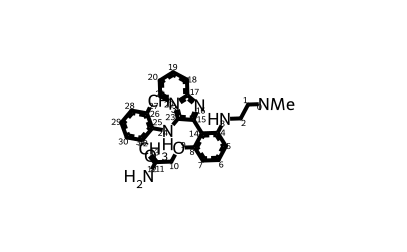 CNCCNc1cccc(OCC(N)=O)c1-c1nc2ccccn2c1Nc1c(C)cccc1C